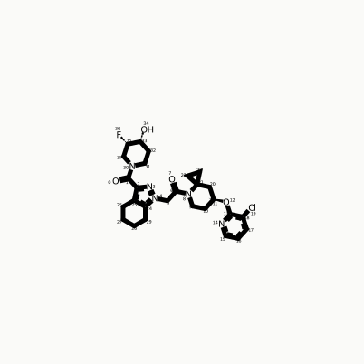 O=C(c1nn(CC(=O)N2CC[C@H](Oc3ncccc3Cl)CC23CC3)c2c1CCCC2)N1CC[C@@H](O)[C@@H](F)C1